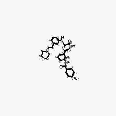 Cc1c(NC(=O)c2ccc(C(C)(C)C)cc2)cccc1-c1cn(C)c(=O)c(Nc2cccc(CCN3CCOCC3)c2)n1